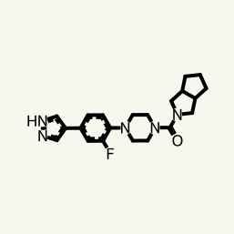 O=C(N1CCN(c2ccc(-c3cn[nH]c3)cc2F)CC1)N1CC2CCCC2C1